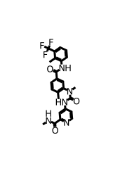 CNC(=O)c1cc(NC(=O)N(C)c2cc(C(=O)Nc3cccc(C(F)(F)F)c3C)ccc2C)ccn1